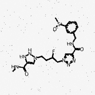 CNC(=O)C1=CN(CCC(F)Cn2cc(C(=O)NCc3cccc([S+](C)[O-])c3)nn2)NN1